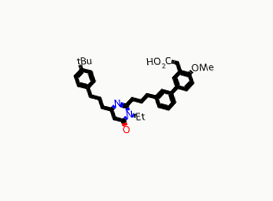 CCN1C(=O)CC(CCCc2ccc(C(C)(C)C)cc2)N=C1CCCc1cccc(-c2ccc(OC)c(CC(=O)O)c2)c1